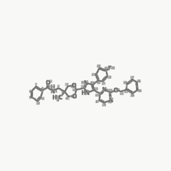 CC1(CNC(=O)c2ccccc2)COC(c2nc(-c3ccc(F)cc3)c(-c3ccnc(OCc4ccccc4)n3)[nH]2)OC1